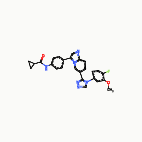 COc1cc(-n2cnnc2-c2ccc3ncc(-c4ccc(NC(=O)C5CC5)cc4)n3c2)ccc1F